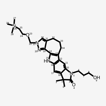 CC1(C)C(=O)N(CCCO)c2cc3c4c([nH]c3cc21)-c1nn(COCC[Si](C)(C)C)cc1CCC4